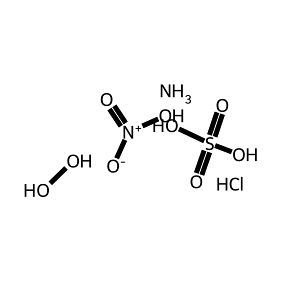 Cl.N.O=S(=O)(O)O.O=[N+]([O-])O.OO